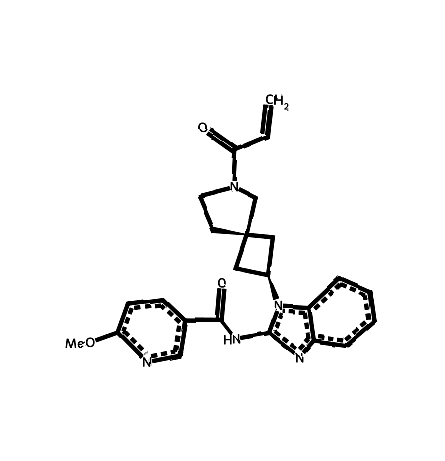 C=CC(=O)N1CC[C@]2(C1)C[C@H](n1c(NC(=O)c3ccc(OC)nc3)nc3ccccc31)C2